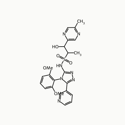 COc1cccc(OC)c1-n1c(NS(=O)(=O)C(C)C(O)c2cnc(C)cn2)nnc1-c1cccnc1